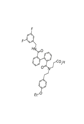 CCOc1ccc(CCN(CCC(=O)O)C(=O)c2ccccc2-c2ccccc2C(=O)NCc2cc(F)cc(F)c2)cc1